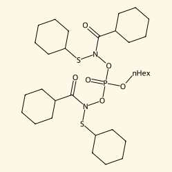 CCCCCCOP(=O)(ON(SC1CCCCC1)C(=O)C1CCCCC1)ON(SC1CCCCC1)C(=O)C1CCCCC1